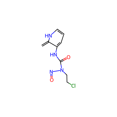 C=C1NC=CC=C1NC(=O)N(CCCl)N=O